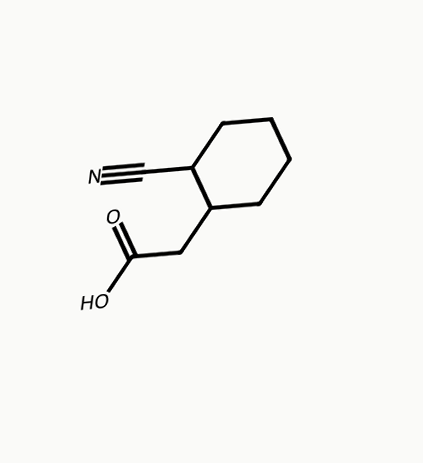 N#CC1CCCCC1CC(=O)O